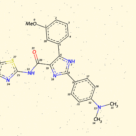 COc1cccc(-c2[nH]c(-c3ccc(N(C)C)cc3)nc2C(=O)Nc2nccs2)c1